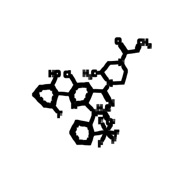 C=CC(=O)N1CCN(/C(=N/C)c2cc(Cl)c(-c3c(O)cccc3F)nc2N(C=O)c2ccccc2S(F)(F)(F)(F)F)C(C)C1